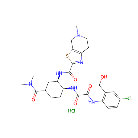 CN1CCc2nc(C(=O)N[C@@H]3C[C@@H](C(=O)N(C)C)CC[C@@H]3NC(=O)C(=O)Nc3ccc(Cl)cc3CO)sc2C1.Cl